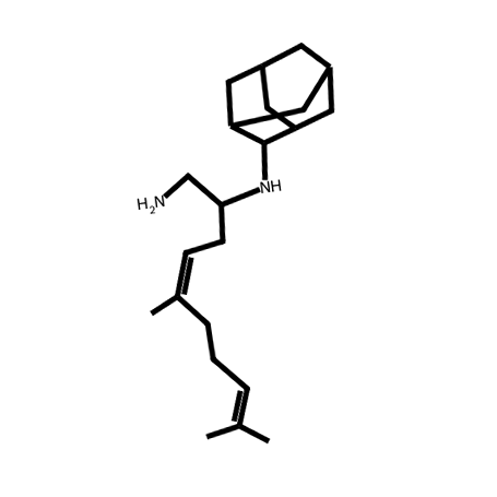 CC(C)=CCCC(C)=CCC(CN)NC1C2CC3CC(C2)CC1C3